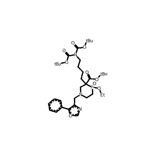 CCOP1(=O)CCN(Cc2ncoc2-c2ccccc2)CC1(CCCCN(C(=O)OC(C)(C)C)C(=O)OC(C)(C)C)C(=O)OC(C)(C)C